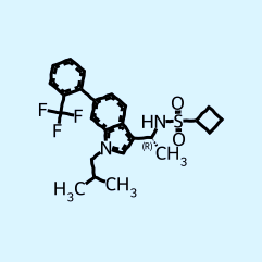 CC(C)Cn1cc([C@@H](C)NS(=O)(=O)C2CCC2)c2ccc(-c3ccccc3C(F)(F)F)cc21